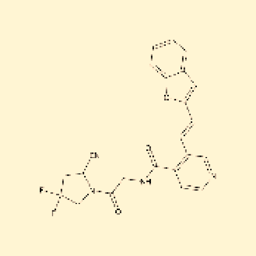 N#CC1CC(F)(F)CN1C(=O)CNC(=O)c1ccncc1C=Cc1cc2ccccc2o1